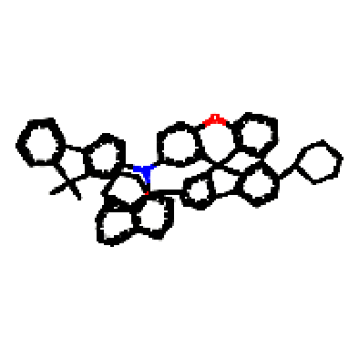 CC1(C)c2ccccc2-c2ccc(N(c3ccc4c(c3)C3(c5ccccc5O4)c4cc(C5CCCCC5)ccc4-c4ccc(C5CCCCC5)cc43)c3cccc4ccccc34)cc21